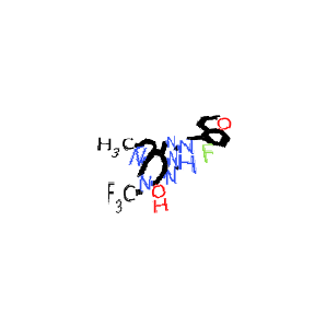 Cc1ccc2c(n1)CN(CC(F)(F)F)C(O)c1ncn3c(NCc4c(F)ccc5c4CCCO5)ncc-2c13